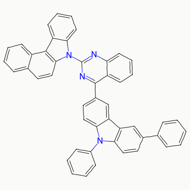 c1ccc(-c2ccc3c(c2)c2cc(-c4nc(-n5c6ccccc6c6c7ccccc7ccc65)nc5ccccc45)ccc2n3-c2ccccc2)cc1